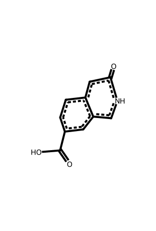 O=C(O)c1ccc2cc(=O)[nH]cc2c1